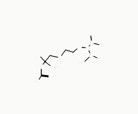 CCC(=O)SC(C)(C)CSCCOP(N(C(C)C)C(C)C)N(C(C)C)C(C)C